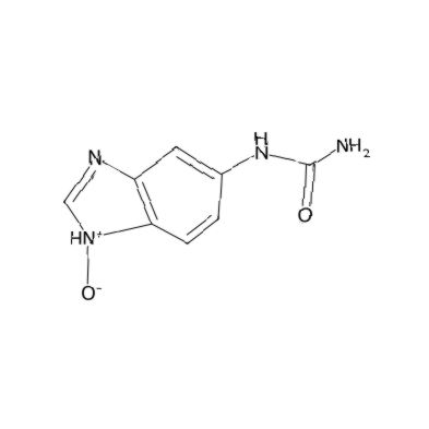 NC(=O)Nc1ccc2c(c1)N=C[NH+]2[O-]